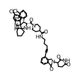 O=C1CCC(N2Cc3c(C#CCCCNC(=O)C4CCN(C(=O)[C@@H]5NC6(CCCCC6)C6(C(=O)Nc7cc(Cl)ccc76)[C@H]5c5cccc(Cl)c5F)CC4)cccc3C2=O)C(=O)N1